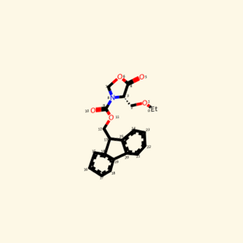 CCOC[C@H]1C(=O)OCN1C(=O)OCC1c2ccccc2-c2ccccc21